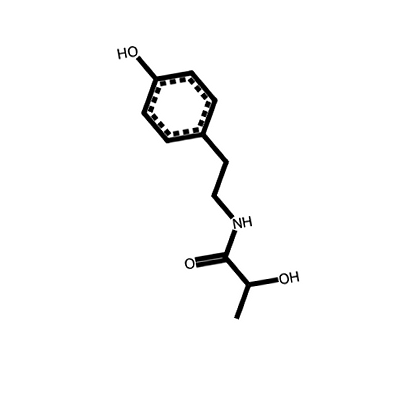 CC(O)C(=O)NCCc1ccc(O)cc1